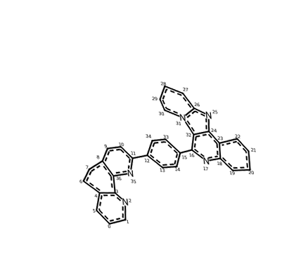 c1cnc2c(c1)ccc1ccc(-c3ccc(-c4nc5ccccc5c5nc6ccccn6c45)cc3)nc12